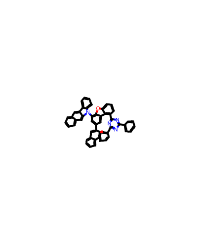 c1ccc(-c2nc(-c3ccccc3)nc(-c3cccc4oc5c(-n6c7ccccc7c7cc8ccccc8cc76)cc(-c6ccc7ccccc7c6)cc5c34)n2)cc1